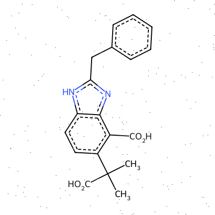 CC(C)(C(=O)O)c1ccc2[nH]c(Cc3ccccc3)nc2c1C(=O)O